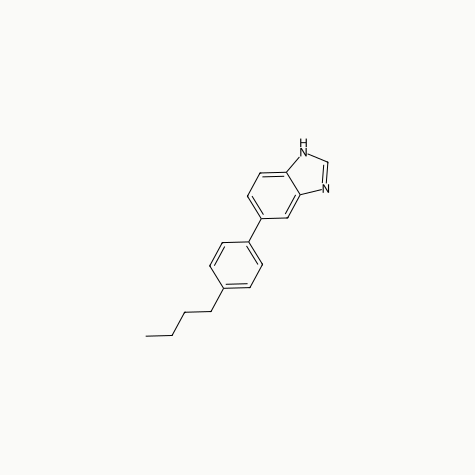 CCCCc1ccc(-c2ccc3[nH]cnc3c2)cc1